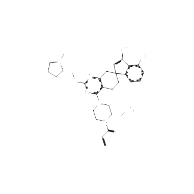 C=CC(=O)N1CCN(c2nc(OC[C@@H]3CCCN3C)nc3c2CCC2(C=C(C(F)(F)F)c4c(Cl)cccc42)C3)C[C@@H]1CC#N